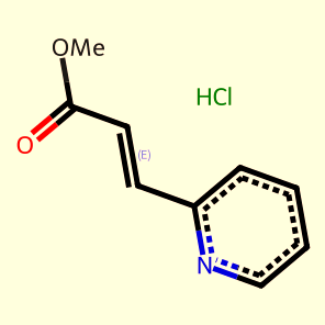 COC(=O)/C=C/c1ccccn1.Cl